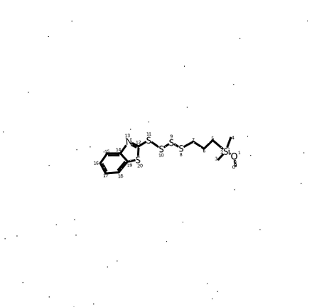 CO[Si](C)(C)CCCSSSSc1nc2ccccc2s1